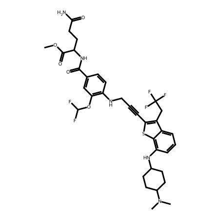 COC(=O)C(CCC(N)=O)NC(=O)c1ccc(NCC#Cc2sc3c(NC4CCC(N(C)C)CC4)cccc3c2CC(F)(F)F)c(OC(F)F)c1